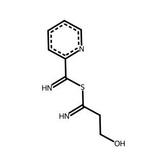 N=C(CCO)SC(=N)c1ccccn1